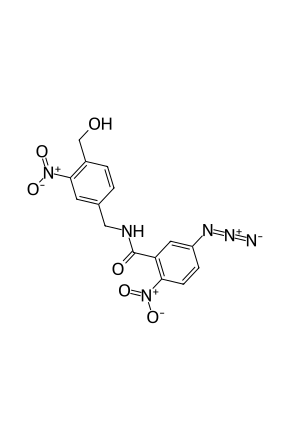 [N-]=[N+]=Nc1ccc([N+](=O)[O-])c(C(=O)NCc2ccc(CO)c([N+](=O)[O-])c2)c1